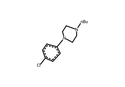 CCCCN1CCN(c2ccc(Cl)cc2)CC1